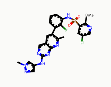 COc1ncc(Cl)cc1S(=O)(=O)Nc1cccc(-c2cc3cnc(Nc4cnn(C)c4)nc3nc2C)c1F